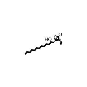 CCCCCCCCCCCC(O)C[C@@H]1OC(=O)[C@H]1CC